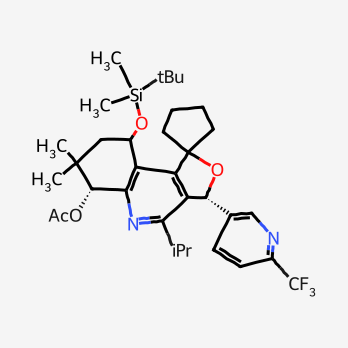 CC(=O)O[C@H]1c2nc(C(C)C)c3c(c2C(O[Si](C)(C)C(C)(C)C)CC1(C)C)C1(CCCC1)O[C@@H]3c1ccc(C(F)(F)F)nc1